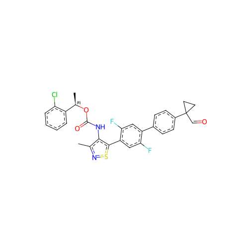 Cc1nsc(-c2cc(F)c(-c3ccc(C4(C=O)CC4)cc3)cc2F)c1NC(=O)O[C@H](C)c1ccccc1Cl